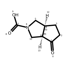 O=C1CC[C@@H]2CN(C(=O)O)C[C@H]12